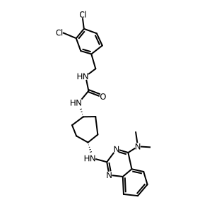 CN(C)c1nc(N[C@H]2CC[C@@H](NC(=O)NCc3ccc(Cl)c(Cl)c3)CC2)nc2ccccc12